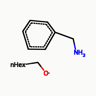 CCCCCCC[O].NCc1ccccc1